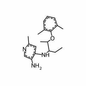 CCC(Nc1cc(C)ncc1N)C(C)Oc1c(C)cccc1C